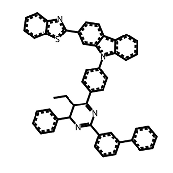 CCC1C(c2ccc(-n3c4ccccc4c4ccc(-c5nc6ccccc6s5)cc43)cc2)=NC(c2cccc(-c3ccccc3)c2)=NC1c1ccccc1